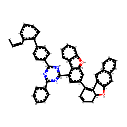 C/C=C\c1ccccc1-c1ccc(-c2nc(-c3ccccc3)nc(-c3cc(C4=C5c6cc7ccccc7cc6OC5CC=C4)cc4oc5ccccc5c34)n2)cc1